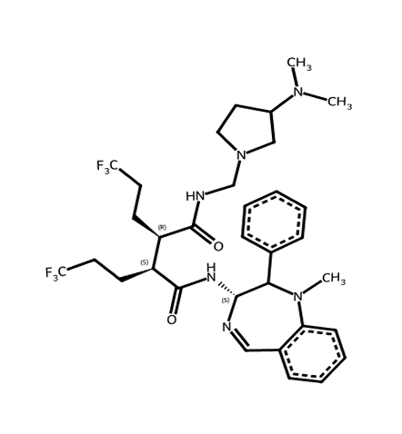 CN(C)C1CCN(CNC(=O)[C@H](CCC(F)(F)F)[C@H](CCC(F)(F)F)C(=O)N[C@H]2N=Cc3ccccc3N(C)C2c2ccccc2)C1